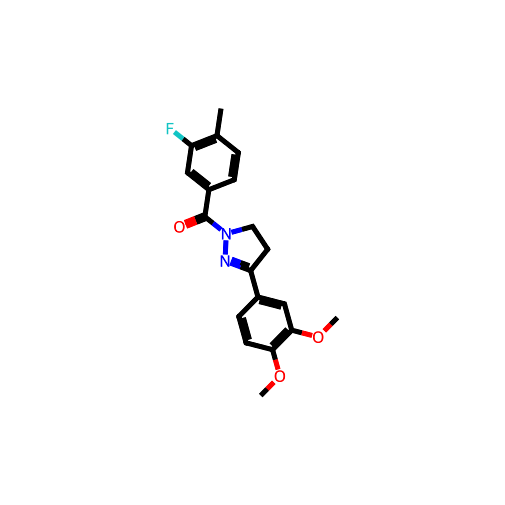 COc1ccc(C2=NN(C(=O)c3ccc(C)c(F)c3)CC2)cc1OC